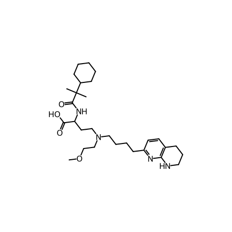 COCCN(CCCCc1ccc2c(n1)NCCC2)CCC(NC(=O)C(C)(C)C1CCCCC1)C(=O)O